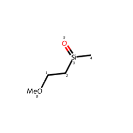 COCC[Si](C)=O